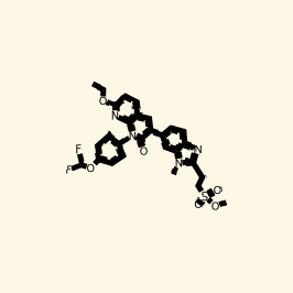 CCOc1ccc2cc(-c3ccc4nc(CCS(=O)(=O)OC)n(C)c4c3)c(=O)n(-c3ccc(OC(F)F)cc3)c2n1